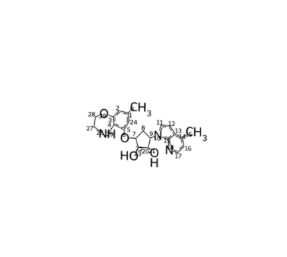 Cc1cc2c(c(OC3CC(n4ccc5c(C)ccnc54)C(O)C3O)c1)CNCCO2